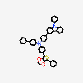 c1ccc(-c2ccc(N(c3ccc(-c4ccc5c(c4)c4ccccc4n5-c4ccccc4)cc3)c3ccc(-c4sc(-c5ccccc5)c5c4OCCO5)cc3)cc2)cc1